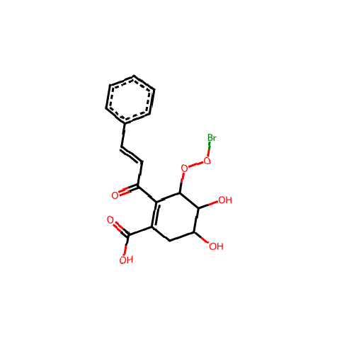 O=C(O)C1=C(C(=O)C=Cc2ccccc2)C(OOBr)C(O)C(O)C1